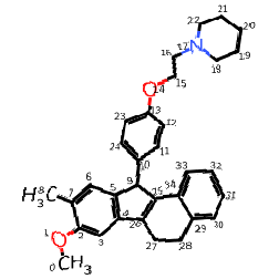 COc1cc2c(cc1C)C(c1ccc(OCCN3CCCCC3)cc1)C1=C2CCc2ccccc21